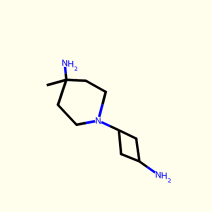 CC1(N)CCN(C2CC(N)C2)CC1